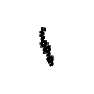 C=C[C@H]1CC[C@H](CC[C@H]2CC[C@H](c3ccc(COCC=CCC)cc3)CC2)CC1